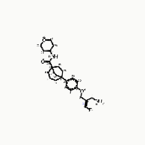 NC/C(=C\F)COc1ccc(C23CCCC(C(=O)NC4CCOCC4)(CC2)CC3)cc1